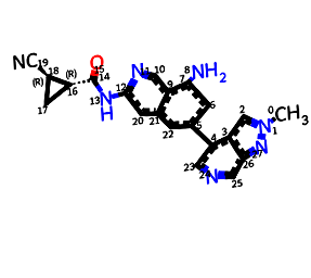 Cn1cc2c(-c3cc(N)c4cnc(NC(=O)[C@@H]5C[C@H]5C#N)cc4c3)cncc2n1